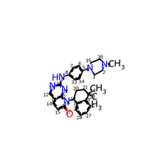 CN1CCN(c2ccc(Nc3ncc4ccc(=O)n(C5CCC(C)(C)c6ccccc65)c4n3)cc2)CC1